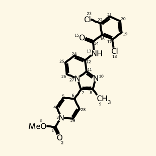 COC(=O)N1C=CC(c2c(C)nc3c(NC(=O)c4c(Cl)cccc4Cl)cccn23)C=C1